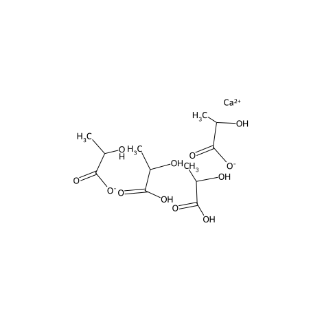 CC(O)C(=O)O.CC(O)C(=O)O.CC(O)C(=O)[O-].CC(O)C(=O)[O-].[Ca+2]